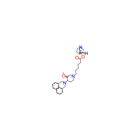 CO[C@H]1CN(CCCCCC(=O)O[C@H]2CN3CCC2CC3)CCC1N(Cc1ccccc1)Cc1ccccc1